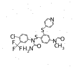 CN(C=O)c1ccc(SN(C(N)=O)c2ccc(Cl)c(C(F)(F)F)c2)c(Sc2ccncc2)c1